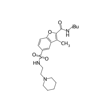 CCC(C)NC(=O)c1oc2ccc(S(=O)(=O)NCCN3CCCCC3)cc2c1C